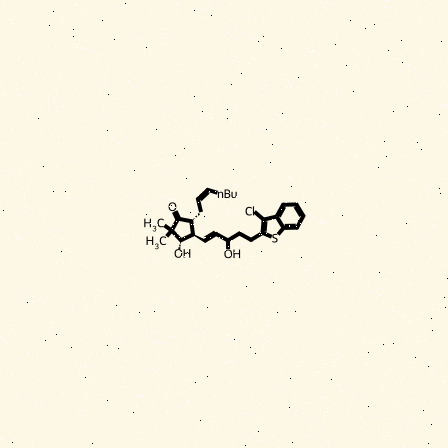 CCCC/C=C\C[C@H]1C(=O)C(C)(C)[C@@H](O)[C@@H]1/C=C/C(O)CCc1sc2ccccc2c1Cl